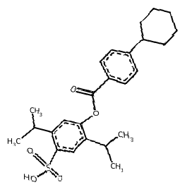 CC(C)c1cc(S(=O)(=O)O)c(C(C)C)cc1OC(=O)c1ccc(C2CCCCC2)cc1